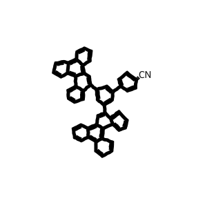 N#Cc1ccc(-c2cc(-c3cc4c5ccccc5c5ccccc5c4c4ccccc34)cc(-c3cc4c5ccccc5c5ccccc5c4c4ccccc34)c2)cc1